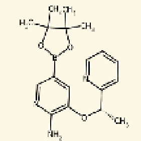 C[C@H](Oc1cc(B2OC(C)(C)C(C)(C)O2)cnc1N)c1ccccn1